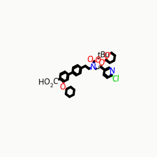 CC(C)(C)OC(=O)N(CCc1ccc(-c2ccc(C(=O)O)c(OC3CCCCC3)c2)cc1)C[C@H](OC1CCCCO1)c1ccc(Cl)nc1